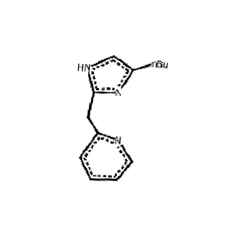 CCCCc1c[nH]c(Cc2ccccn2)n1